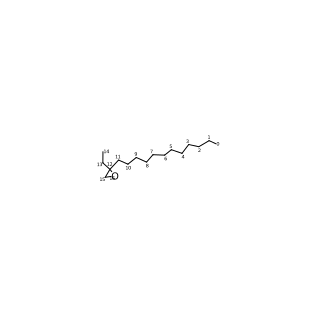 CCCCCCCCCCCCC1(CC)CO1